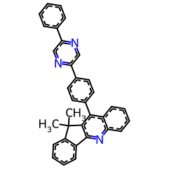 CC1(C)c2ccccc2-c2nc3ccccc3c(-c3ccc(-c4cnc(-c5ccccc5)cn4)cc3)c21